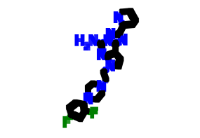 Nc1nc2c(ccn2CCN2CCN(c3ccc(F)cc3F)CC2)c2nc(-c3ccccn3)nn12